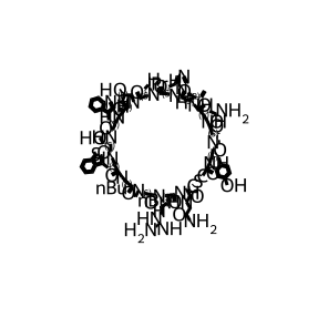 C=C[C@H]1C[C@]12NC(=O)[C@H](CC(N)=O)NC(=O)[C@H](C)N(C)C(=O)[C@H](Cc1ccc(O)cc1)NC(=O)CSCC(C(=O)NCC(N)=O)NC(=O)[C@H](CCCNC(=N)N)NC(=O)[C@H](CCCC)N(C)C(=O)[C@H](CCCC)N(C)C(=O)[C@H](Cc1csc3ccccc13)NC(=O)[C@H](CO)NC(=O)[C@H](Cc1c[nH]c3ccccc13)NC(=O)[C@@H]1C[C@@H](O)CN1C(=O)[C@H](CC(C)C)NC(=O)[C@H](Cc1cnc[nH]1)NC2=O